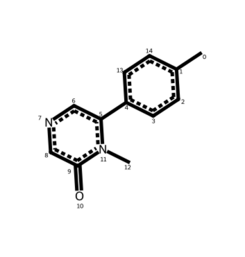 Cc1ccc(-c2cncc(=O)n2C)cc1